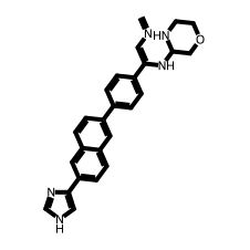 C=N/C=C(\NC1COCCN1)c1ccc(-c2ccc3cc(-c4c[nH]cn4)ccc3c2)cc1